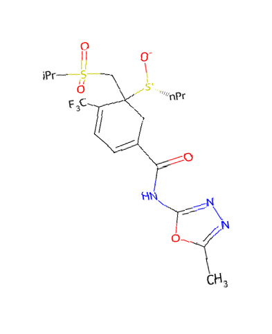 CCC[S@@+]([O-])C1(CS(=O)(=O)C(C)C)CC(C(=O)Nc2nnc(C)o2)=CC=C1C(F)(F)F